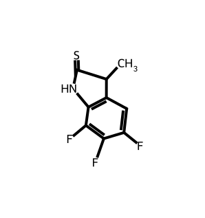 CC1C(=S)Nc2c1cc(F)c(F)c2F